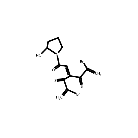 C=C(Br)C(=S)C(=CC(=O)N1CCCC1C#N)C(=S)C(=C)Br